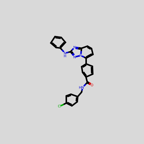 O=C(NCc1ccc(Cl)cc1)c1ccc(-c2cccc3nc(Nc4ccccc4)nn23)cc1